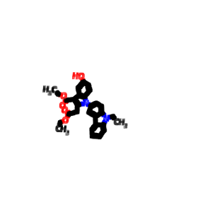 CCOC(=O)Cc1c(C(=O)OCC)c2cc(O)ccc2n1-c1ccc2c(c1)c1ccccc1n2CC